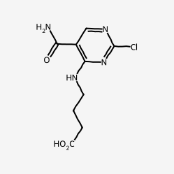 NC(=O)c1cnc(Cl)nc1NCCCC(=O)O